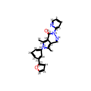 Cc1c2cnn(-c3ccccn3)c(=O)c2c(C)n1-c1cccc(-c2ccco2)c1